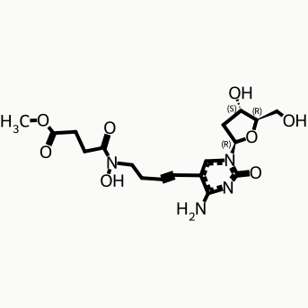 COC(=O)CCC(=O)N(O)CCC#Cc1cn([C@H]2C[C@H](O)[C@@H](CO)O2)c(=O)nc1N